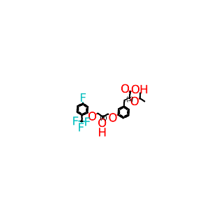 CC(C)O[C@@H](Cc1cccc(OC[C@@H](O)COc2cc(F)ccc2C(F)(F)F)c1)C(=O)O